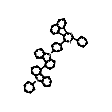 c1ccc(-c2nc(-c3ccc(-n4c5ccccc5c5c(-c6cccc7c6c6ccccc6n7-c6ccccc6)cccc54)cc3)c3c(n2)-c2cccc4cccc-3c24)cc1